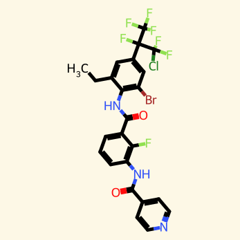 CCc1cc(C(F)(C(F)(F)F)C(F)(F)Cl)cc(Br)c1NC(=O)c1cccc(NC(=O)c2ccncc2)c1F